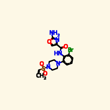 C=CS(=O)(=O)N1CCN(c2cccc(Br)c2NC(=O)c2coc(N)n2)CC1